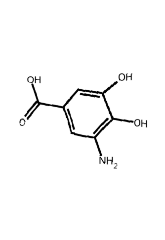 Nc1cc(C(=O)O)cc(O)c1O